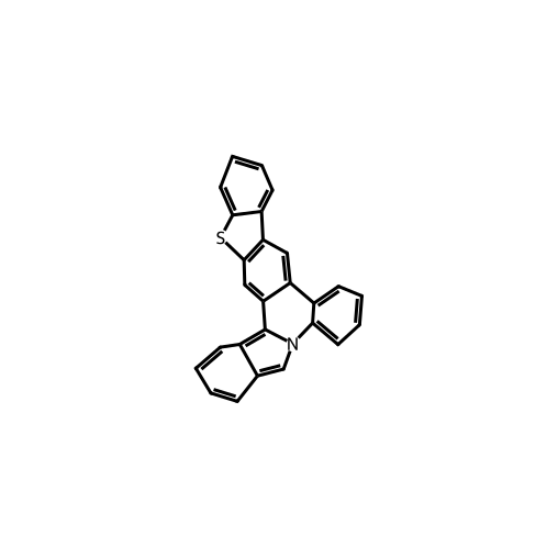 c1ccc2c(c1)cn1c3ccccc3c3cc4c(cc3c21)sc1ccccc14